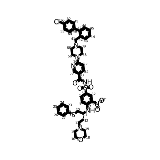 O=C(NS(=O)(=O)c1ccc(N[C@H](CCN2CCOCC2)CSc2ccccc2)c([N+](=O)[O-])c1)c1ccc(N2CCN(Cc3ccccc3-c3ccc(Cl)cc3)CC2)nc1